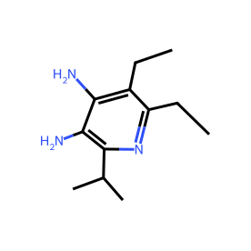 CCc1nc(C(C)C)c(N)c(N)c1CC